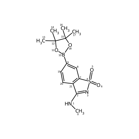 CNC1=NS(=O)(=O)c2cc(B3OC(C)(C)C(C)(C)O3)ccc21